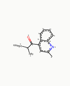 CCCCCCCC(CCC)C(=O)c1cc(C)nc2ccccc12